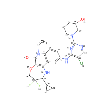 CCn1c(=O)c2c(c3cc(Nc4nc(N5CCCC(O)C5)ncc4Cl)ccc31)NC(C1CC1)C(F)(F)CO2